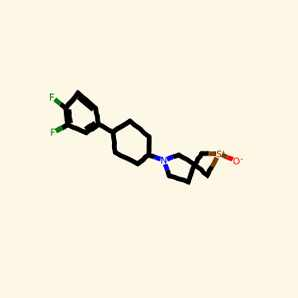 [O-][S+]1CC2(CCN(C3CCC(c4ccc(F)c(F)c4)CC3)C2)C1